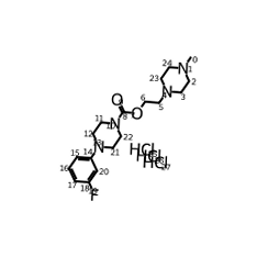 CN1CCN(CCOC(=O)N2CCN(c3cccc(F)c3)CC2)CC1.Cl.Cl.Cl